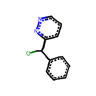 Cl[C](c1ccccc1)c1cccnn1